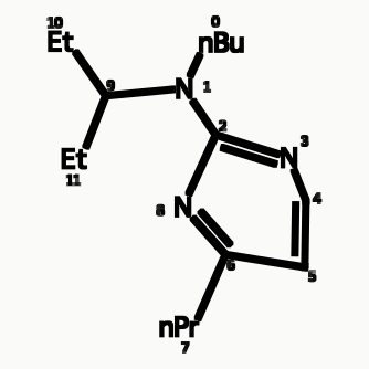 CCCCN(c1nccc(CCC)n1)C(CC)CC